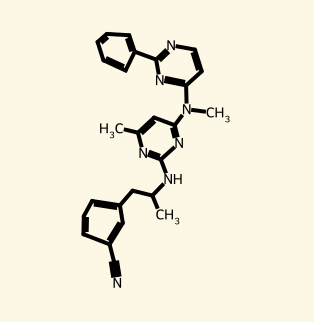 Cc1cc(N(C)c2ccnc(-c3ccccc3)n2)nc(NC(C)Cc2cccc(C#N)c2)n1